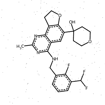 Cc1nc(NCc2cccc(C(F)F)c2F)c2cc(C3(O)CCOCC3)c3c(c2n1)CCO3